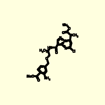 COC(=O)c1ccc(COC[C@@H](C)NC(=O)c2cnn3c(N(C)C(=O)OC(C)(C)C)cc(Cl)nc23)cc1N